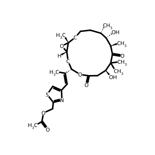 CC(=O)OCc1nc(C=C(C)[C@@H]2C[C@@H]3O[C@]3(C)CCC[C@H](C)[C@H](O)[C@@H](C)C(=O)C(C)(C)[C@@H](O)CC(=O)O2)cs1